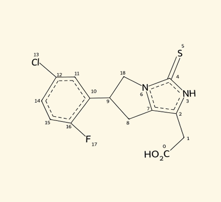 O=C(O)Cc1[nH]c(=S)n2c1CC(c1cc(Cl)ccc1F)C2